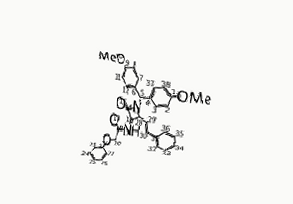 COc1ccc(C(c2ccc(OC)cc2)N2C(=O)C(NC(=O)COc3ccccc3)C2C=Cc2ccccc2)cc1